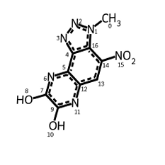 Cn1nnc2c3nc(O)c(O)nc3cc([N+](=O)[O-])c21